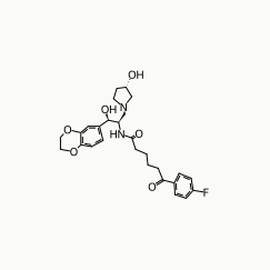 O=C(CCCCC(=O)c1ccc(F)cc1)N[C@H](CN1CC[C@H](O)C1)[C@H](O)c1ccc2c(c1)OCCO2